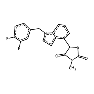 CN1C(=O)SC(c2cccc3c2ccn3Cc2ccc(F)c(F)c2)C1=O